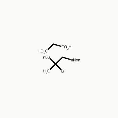 O=C(O)CC(=O)O.[Li][C](C)(CCCC)CCCCCCCCCC